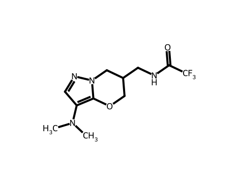 CN(C)c1cnn2c1OCC(CNC(=O)C(F)(F)F)C2